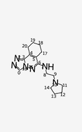 c1nnc2c3c(c(NCCN4CCCC4)nn12)CCCC3